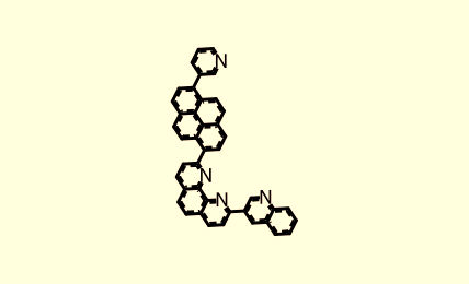 c1cncc(-c2ccc3ccc4c(-c5ccc6ccc7ccc(-c8cnc9ccccc9c8)nc7c6n5)ccc5ccc2c3c54)c1